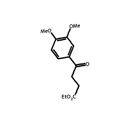 CCOC(=O)CCC(=O)c1ccc(OC)c(OC)c1